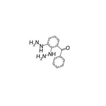 NNc1cccc(C(=O)c2ccccc2)c1NN